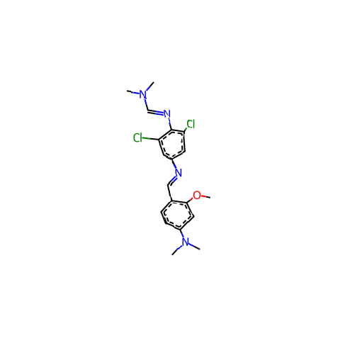 COc1cc(N(C)C)ccc1C=Nc1cc(Cl)c(N=CN(C)C)c(Cl)c1